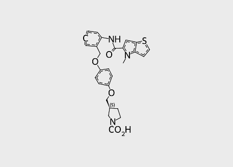 Cn1c(C(=O)Nc2ccccc2COc2ccc(OC[C@H]3CCN(C(=O)O)C3)cc2)cc2sccc21